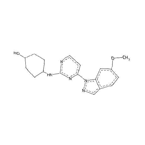 COc1ccc2cnn(-c3ccnc(NC4CCC(O)CC4)n3)c2c1